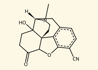 CN1CC[C@@]23c4c5ccc(C#N)c4OC2C(=O)CCC3(O)[C@@H]1C5